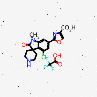 CN1C(=O)C2(CCNCC2)c2c(Cl)cc(-c3nc(C(=O)O)co3)cc21.O=C(O)C(F)(F)F